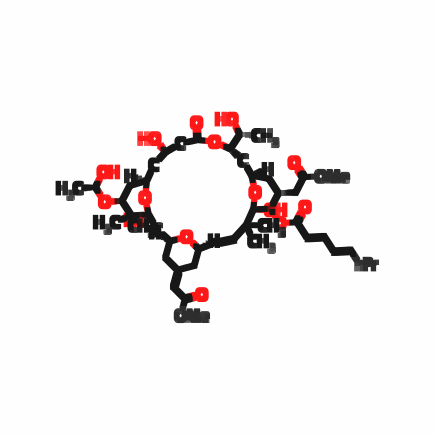 CCC/C=C/C=C/C(=O)OC1[C@H](CC(=O)OC)C[C@H]2C[C@H]([C@@H](C)O)OC(=O)C[C@H](O)C[C@@H]3C[C@H](O[C@@H](C)O)C(C)(C)[C@](O)(C[C@@H]4C/C(=C/C(=O)OC)C[C@H](/C=C/C(C)(C)[C@]1(O)O2)O4)O3